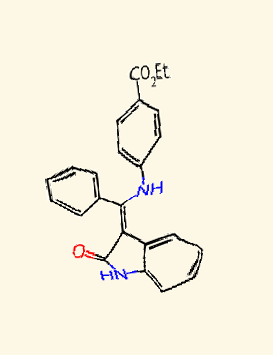 CCOC(=O)c1ccc(NC(=C2C(=O)Nc3ccccc32)c2ccccc2)cc1